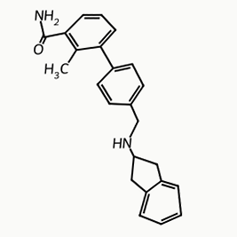 Cc1c(C(N)=O)cccc1-c1ccc(CNC2Cc3ccccc3C2)cc1